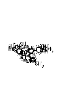 CCC(C)(C)C1(C)C=CC(c2ccc(O)c(C(c3ccc(C)cc3)c3cc(C4=CC=C(O)C(C)(C(C)(C)CC)C=C4)ccc3O)c2)=CC=C1O